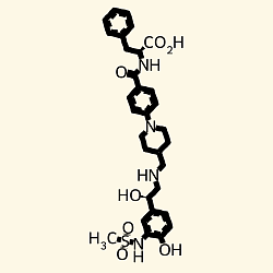 CS(=O)(=O)Nc1cc([C@H](O)CNCC2CCN(c3ccc(C(=O)N[C@@H](Cc4ccccc4)C(=O)O)cc3)CC2)ccc1O